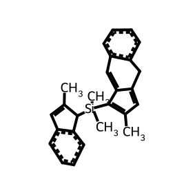 CC1=Cc2ccccc2C1[Si](C)(C)C1=C(C)C=C2Cc3ccccc3C=C21